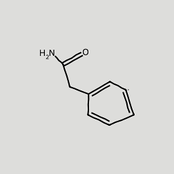 NC(=O)Cc1c[c]ccc1